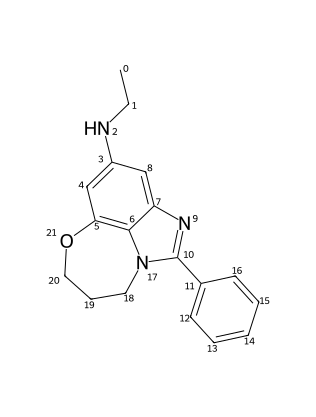 CCNc1cc2c3c(c1)nc(-c1ccccc1)n3CCCO2